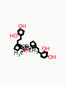 C[Si](C)(O[Si](C)(C)C12CCC(C1)C(CCc1ccc(O)cc1O)C2)C12CCC(C1)C(CCc1ccc(O)cc1O)C2